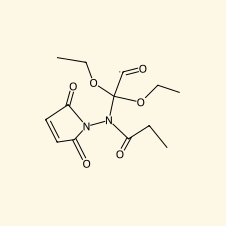 CCOC([C]=O)(OCC)N(C(=O)CC)N1C(=O)C=CC1=O